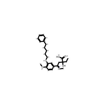 CCC(O)(C/C(=N\C)c1ccc(OC)c(OCCCCCc2ccccc2)c1)C(=O)O